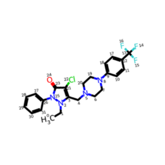 CCn1c(CN2CCN(c3ccc(C(F)(F)F)cc3)CC2)c(Cl)c(=O)n1-c1ccccc1